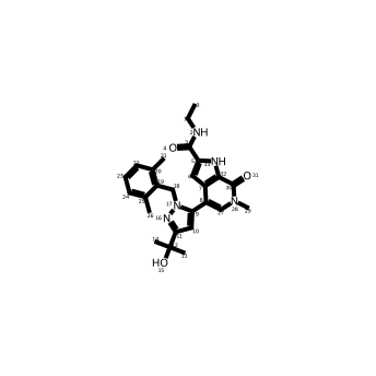 CCNC(=O)c1cc2c(-c3cc(C(C)(C)O)nn3Cc3c(C)cccc3C)cn(C)c(=O)c2[nH]1